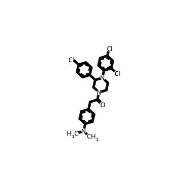 CN(C)c1ccc(CC(=O)N2CCN(c3ccc(Cl)cc3Cl)C(c3ccc(Cl)cc3)C2)cc1